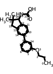 CCCOc1cccc(-c2ccc3c(c2)CC(C)(C)C3NC(=O)O)c1